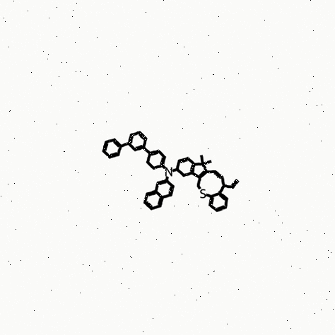 C=CC1/C=C\C2=C(CSc3ccccc31)C1=C(C=CC(N(C3=CC=C(c4cccc(-c5ccccc5)c4)CC3)c3ccc4ccccc4c3)C1)C2(C)C